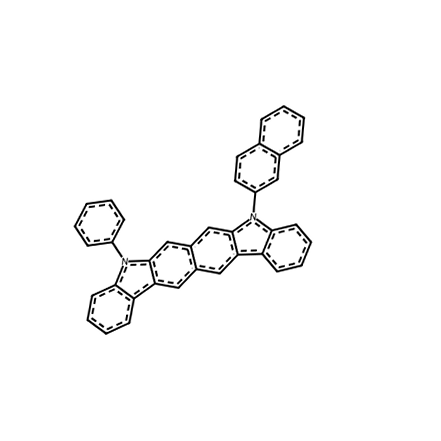 c1ccc(-n2c3ccccc3c3cc4cc5c6ccccc6n(-c6ccc7ccccc7c6)c5cc4cc32)cc1